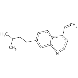 C=Cc1ccnc2cc(CCC(C)C)ccc12